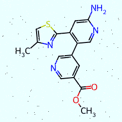 COC(=O)c1cncc(-c2cnc(N)cc2-c2nc(C)cs2)c1